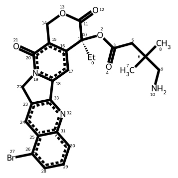 CC[C@@]1(OC(=O)CC(C)(C)CN)C(=O)OCc2c1cc1n(c2=O)Cc2cc3c(Br)cccc3nc2-1